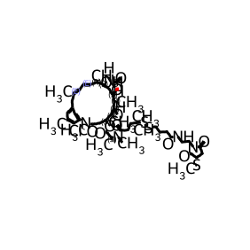 CSC1CC(=O)N(CCNC(=O)CCCSSC(C)(C)CCC(=O)N(C)[C@@H](C)C(=O)O[C@H]2CC(=O)N(C)c3cc(cc(C)c3Cl)C/C(C)=C/C=C/[C@@H](C)[C@@]3(O)C[C@H](OC(=O)N3)[C@@H](C)[C@@H]3O[C@@]23C)C1=O